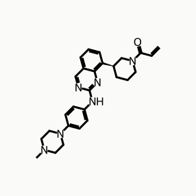 C=CC(=O)N1CCC[C@@H](c2cccc3cnc(Nc4ccc(N5CCN(C)CC5)cc4)nc23)C1